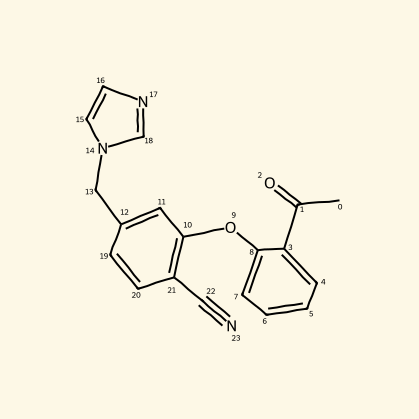 CC(=O)c1ccccc1Oc1cc(Cn2ccnc2)ccc1C#N